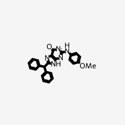 COc1ccc(NC2=Nc3[nH]c(C(c4ccccc4)c4ccccc4)nc3C(=O)[N]2)cc1